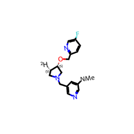 [2H][C@H]1CN(Cc2cncc(NC)c2)C[C@H]1OCc1ccc(F)cn1